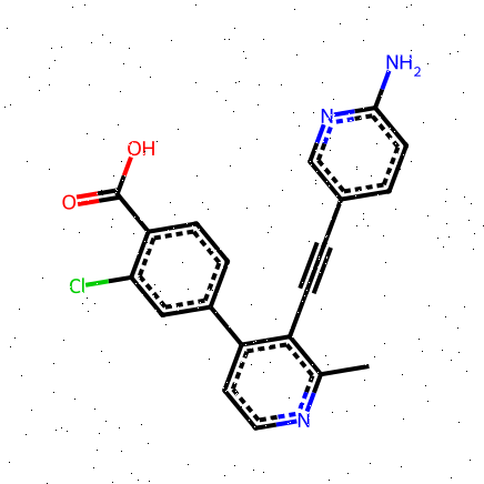 Cc1nccc(-c2ccc(C(=O)O)c(Cl)c2)c1C#Cc1ccc(N)nc1